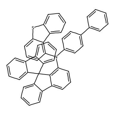 c1ccc(-c2ccc(N(c3cccc4c3C3(c5ccccc5-c5ccccc53)c3ccccc3-4)c3cccc4sc5ccccc5c34)cc2)cc1